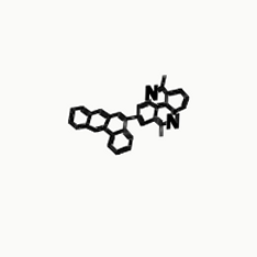 Cc1nc2cc(-c3cc4cc5ccccc5cc4c4ccccc34)cc3c(C)nc4cccc1c4c23